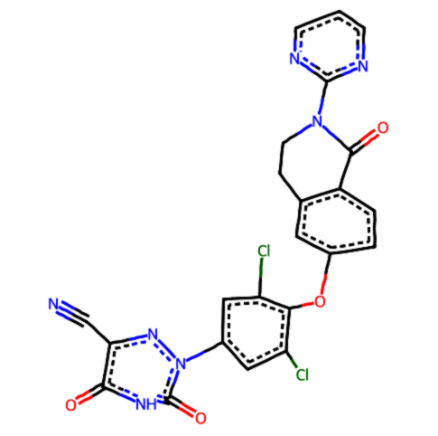 N#Cc1nn(-c2cc(Cl)c(Oc3ccc4c(c3)CCN(c3ncccn3)C4=O)c(Cl)c2)c(=O)[nH]c1=O